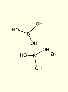 OB(O)O.OB(O)O.[Zn]